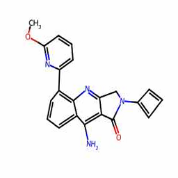 COc1cccc(-c2cccc3c(N)c4c(nc23)CN(C2=CC=C2)C4=O)n1